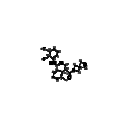 Cc1cccc2c(Nc3cccc(F)c3F)ncc(C(=O)N3CC4(COC4)C3)c12